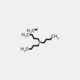 CCCCP(CCCC)CCCC.CI